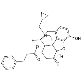 O=C(CCc1ccccc1)O[C@@]12CCC(=O)[C@@H]3Oc4c(O)ccc5c4[C@@]31CCN(CC1CC1)[C@@H]2C5